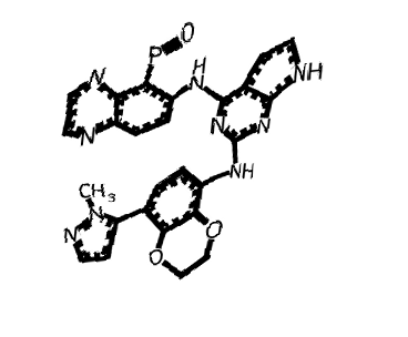 Cn1nccc1-c1ccc(Nc2nc(Nc3ccc4nccnc4c3P=O)c3cc[nH]c3n2)c2c1OCCO2